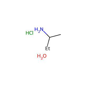 CCC(C)N.Cl.O